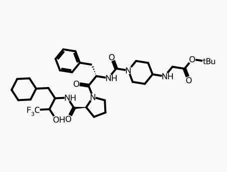 CC(C)(C)OC(=O)CNC1CCN(C(=O)N[C@@H](Cc2ccccc2)C(=O)N2CCC[C@H]2C(=O)NC(CC2CCCCC2)C(O)C(F)(F)F)CC1